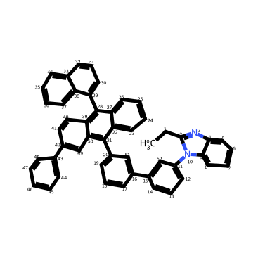 CCc1nc2ccccc2n1-c1cccc(-c2cccc(-c3c4ccccc4c(-c4cccc5ccccc45)c4ccc(-c5ccccc5)cc34)c2)c1